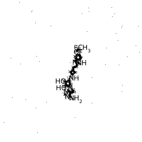 CC(F)(F)Oc1ccc2[nH]c(CCC3CC(NC[C@H]4C[C@@H](n5ccc6c(N)ncnc65)[C@H](O)[C@@H]4O)C3)nc2c1